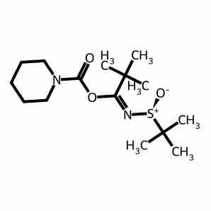 CC(C)(C)/C(=N\[S@@+]([O-])C(C)(C)C)OC(=O)N1CCCCC1